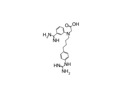 N=C(N)Nc1ccc(CCCCN(CC(=O)O)c2cccc(C(=N)N)c2)cc1